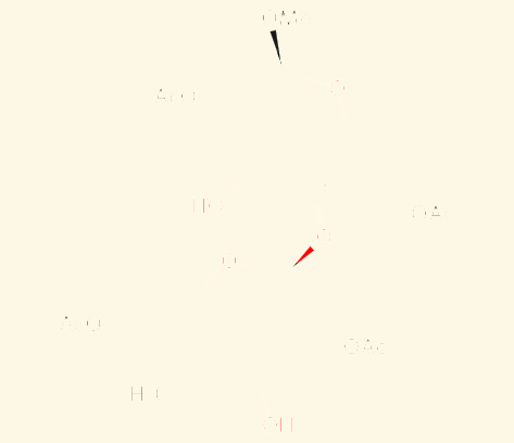 CO[C@H]1OC(COC(C)=O)[C@H](O[C@@H]2OC(COC(C)=O)[C@@H](C)C(O)C2OC(C)=O)C(O)C1OC(C)=O